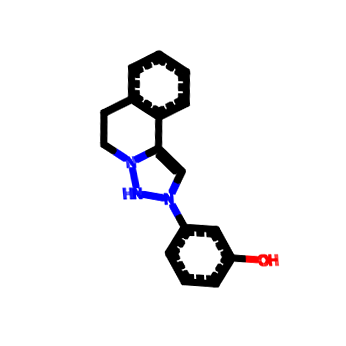 Oc1cccc(N2C=C3c4ccccc4CCN3N2)c1